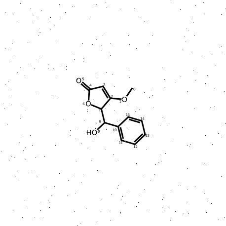 COC1=CC(=O)OC1C(O)c1ccccc1